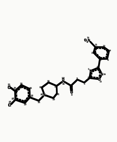 O=C(CCc1nc(-c2cccc([N+](=O)[O-])c2)no1)NC1CCN(Cc2ccc(Cl)c(Cl)c2)CC1